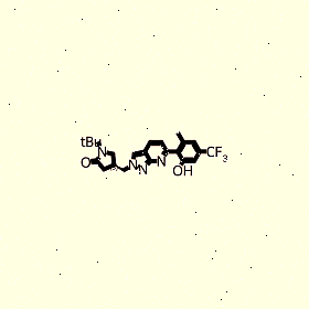 Cc1cc(C(F)(F)F)cc(O)c1-c1ccc2cn(C[C@H]3CC(=O)N(C(C)(C)C)C3)nc2n1